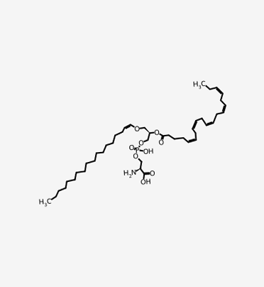 CC/C=C\C/C=C\C/C=C\C/C=C\C/C=C\CCCC(=O)O[C@H](CO/C=C\CCCCCCCCCCCCCCCC)COP(=O)(O)OC[C@H](N)C(=O)O